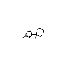 Cc1cc(C2(C)COCCO2)co1